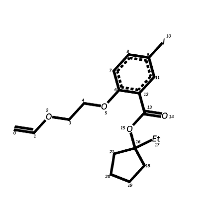 C=COCCOc1ccc(I)cc1C(=O)OC1(CC)CCCC1